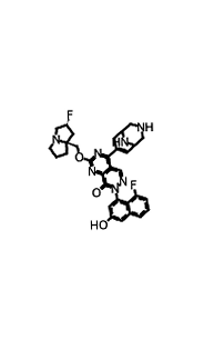 O=c1c2nc(OC[C@@]34CCCN3C[C@H](F)C4)nc(C3=CC4CNCC(C3)N4)c2cnn1-c1cc(O)cc2cccc(F)c12